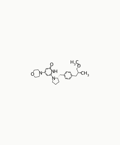 COC[C@@H](C)Cc1ccc(C[C@@H]2CCCN2c2cc(N3CCOCC3)cc(=O)[nH]2)cc1